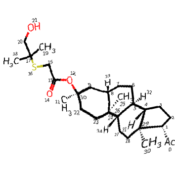 CC(=O)[C@H]1CC[C@H]2[C@@H]3CC[C@H]4C[C@](C)(OC(=O)CSC(C)(C)CO)CC[C@]4(C)[C@H]3CC[C@]12C